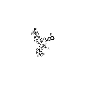 C=C[C@@H]1C[C@]1(NC(=O)[C@@H]1C[C@@H](OC(=O)N2Cc3cccc(F)c3C2)CN1C(=O)[C@H](CCC(=O)N1C[C@H]2C[C@@H]1C(=O)O2)NC(=O)OC(C)(C)C)C(=O)NS(=O)(=O)C1CC1